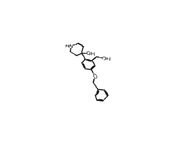 OCc1cc(OCc2ccccc2)ccc1C1(O)CCNCC1